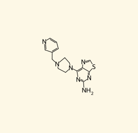 Nc1nc(N2CCN(Cc3cccnc3)CC2)c2ncsc2n1